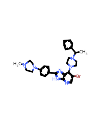 CC(c1ccccc1)N1CCN(c2c(Br)cnc3[nH]c(-c4ccc(N5CCN(C)CC5)cc4)nc23)CC1